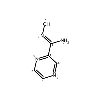 N/C(=N\O)c1cnccn1